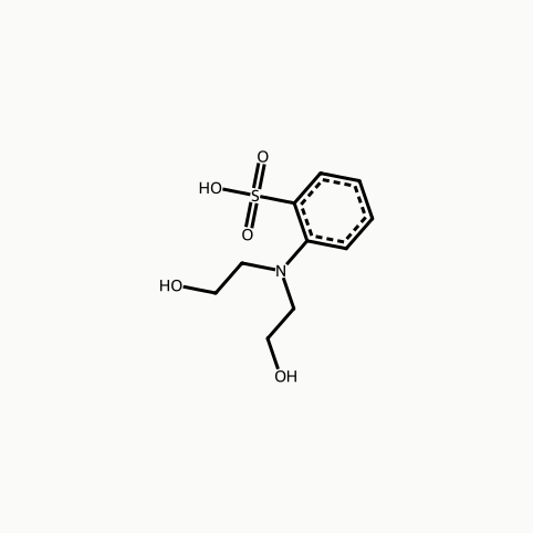 O=S(=O)(O)c1ccccc1N(CCO)CCO